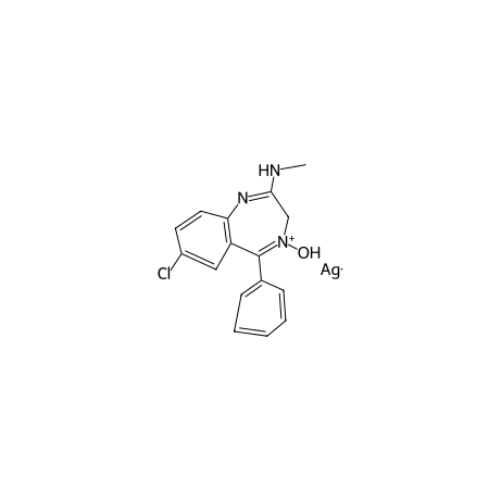 CNC1=Nc2ccc(Cl)cc2C(c2ccccc2)=[N+](O)C1.[Ag]